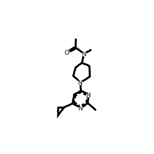 CC(=O)N(C)C1CCN(c2cc(C3CC3)nc(C)n2)CC1